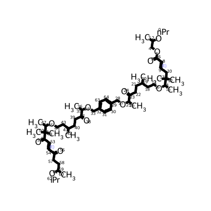 CCCOC(C)COC(=O)/C=C/CC(C)(C)C(C)OCCC(C)CCC(=O)C(C)OCc1ccc(COC(C)C(=O)CCC(C)CCOC(C)C(C)(C)C(=O)/C=C/C(=O)CCC(C)OC(C)C)cc1